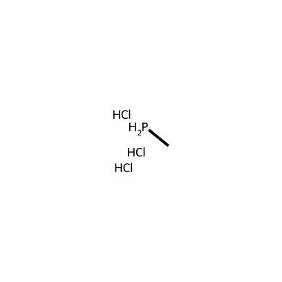 CP.Cl.Cl.Cl